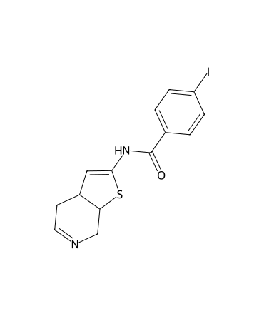 O=C(NC1=CC2CC=NCC2S1)c1ccc(I)cc1